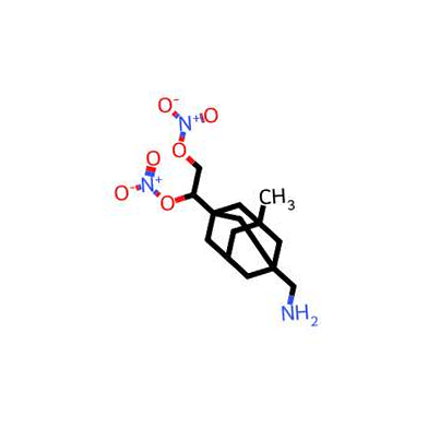 CC12CC3CC(CN)(C1)CC(C(CO[N+](=O)[O-])O[N+](=O)[O-])(C3)C2